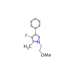 COCCn1cc(-c2ccccc2)c(F)c1C